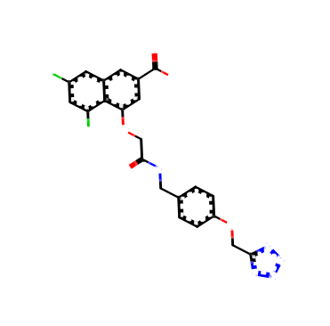 O=C(COc1cc(C(=O)O)cc2cc(Cl)cc(Cl)c12)NCc1ccc(OCc2nnn[nH]2)cc1